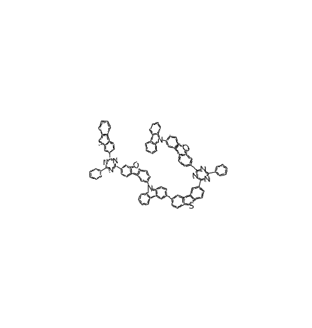 c1ccc(-c2nc(-c3ccc4c(c3)oc3ccc(-n5c6ccccc6c6cc(-c7ccc8sc9ccc(-c%10nc(-c%11ccccc%11)nc(-c%11ccc%12c(c%11)oc%11ccc(-n%13c%14ccccc%14c%14ccccc%14%13)cc%11%12)n%10)cc9c8c7)ccc65)cc34)nc(-c3ccc4c(c3)sc3ccccc34)n2)cc1